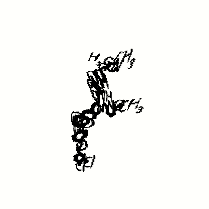 COc1cccc(CN2Cc3cc4c(cc3C[C@H]2C(=O)N[C@@H](Cc2ccc(Oc3ccnc(C)c3C)cc2)C(=O)O)OC[C@H](c2ccc(OCc3ccc(Cl)c(Cl)c3)cc2)O4)n1